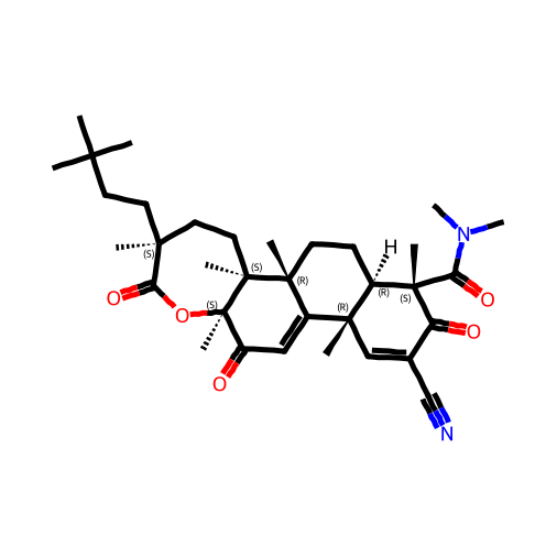 CN(C)C(=O)[C@]1(C)C(=O)C(C#N)=C[C@]2(C)C3=CC(=O)[C@@]4(C)OC(=O)[C@@](C)(CCC(C)(C)C)CC[C@@]4(C)[C@]3(C)CC[C@@H]12